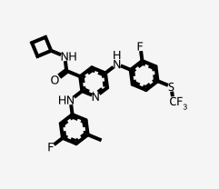 Cc1cc(F)cc(Nc2ncc(Nc3ccc(SC(F)(F)F)cc3F)cc2C(=O)NC2CCC2)c1